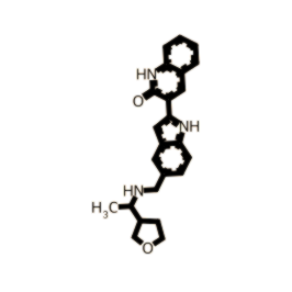 CC(NCc1ccc2[nH]c(-c3cc4ccccc4[nH]c3=O)cc2c1)C1CCOC1